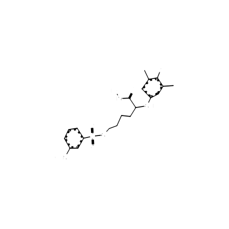 Cc1cc(NC(CCCCNS(=O)(=O)c2cccc([N+](=O)[O-])c2)C(=O)NO)cc(C)c1F